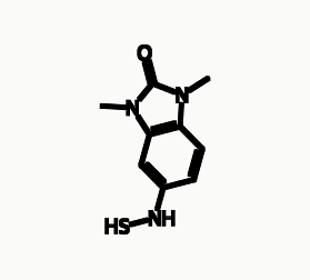 Cn1c(=O)n(C)c2cc(NS)ccc21